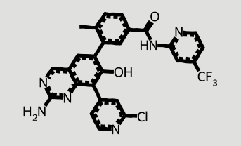 Cc1ccc(C(=O)Nc2cc(C(F)(F)F)ccn2)cc1-c1cc2cnc(N)nc2c(-c2ccnc(Cl)c2)c1O